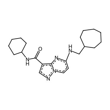 O=C(NC1CCCCC1)c1cnn2ccc(NCC3CCCCCC3)nc12